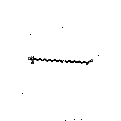 O=C=NCCCCCCCCCCCCCCCCCCCCC[SiH](Cl)Cl